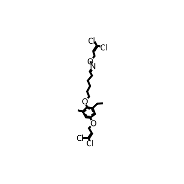 CCc1cc(OCC=C(Cl)Cl)cc(C)c1OCCCCCC=NOCC=C(Cl)Cl